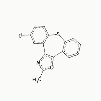 Cc1nc2c(o1)-c1ccccc1Sc1ccc(Cl)cc1-2